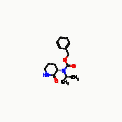 CC(C)N(C(=O)OCc1ccccc1)[C@H]1CCCNC1=O